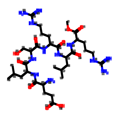 COC(=O)C(CCCNC(=N)N)NC(=O)C(CC(C)C)NC(=O)C(CCCNC(=N)N)NC(=O)C(CO)NC(=O)C(CC(C)C)NC(=O)C(N)CCC(=O)O